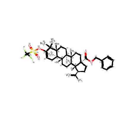 C=C(C)[C@@H]1CC[C@]2(C(=O)OCc3ccccc3)CC[C@]3(C)C(CC[C@@H]4[C@@]5(C)CC=C(OS(=O)(=O)C(F)(F)F)C(C)(C)[C@@H]5CC[C@]43C)[C@@H]12